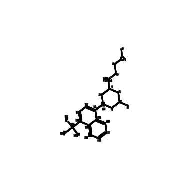 COCCNC1CC(C)CN(c2ccc(C(F)(F)F)c3ncccc23)C1